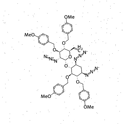 C=C[C@H]1O[C@H](O[C@H]2[C@H](OCc3ccc(OC)cc3)[C@@H](OCc3ccc(OC)cc3)[C@H](N=[N+]=[N-])C[C@@H]2N=[N+]=[N-])[C@H](N=[N+]=[N-])[C@@H](OCc2ccc(OC)cc2)[C@@H]1OCc1ccc(OC)cc1